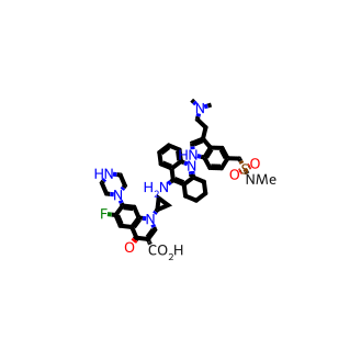 CNS(=O)(=O)Cc1ccc2[nH]cc(CCN(C)C)c2c1.Nc1c2c(nc3ccccc13)CCCC2.O=C(O)c1cn(C2CC2)c2cc(N3CCNCC3)c(F)cc2c1=O